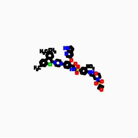 CC1(C)CCC(CN2CCN(c3ccc(C(=O)NS(=O)(=O)c4ccc(NCC5CN(S(=O)(=O)C6COC6)CCO5)c([N+](=O)[O-])c4)c(Oc4cnc5[nH]ccc5c4)c3)CC2)=C(c2ccc(C(F)(F)F)cc2Cl)C1